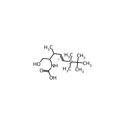 CC(/C=C/[Si](C)(C)C(C)(C)C)C(CO)NC(=O)O